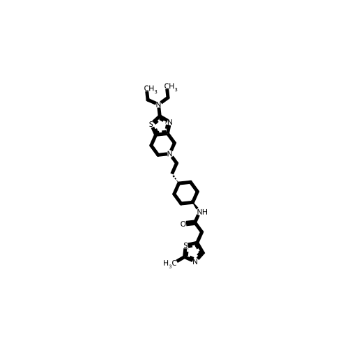 CCN(CC)c1nc2c(s1)CCN(CC[C@H]1CC[C@H](NC(=O)Cc3cnc(C)s3)CC1)C2